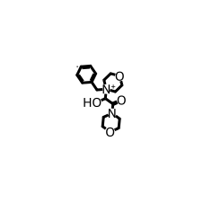 O=C(C(O)[N+]1(Cc2cc[c]cc2)CCOCC1)N1CCOCC1